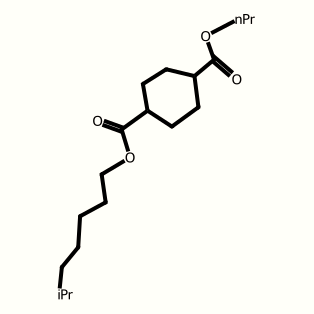 CCCOC(=O)C1CCC(C(=O)OCCCCCC(C)C)CC1